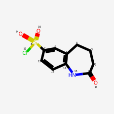 O=C1CCCc2cc(S(=O)(=O)Cl)ccc2N1